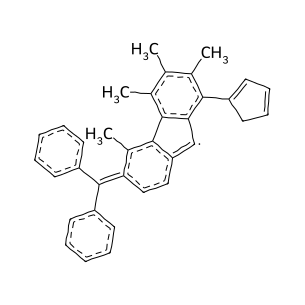 Cc1c(C)c(C2=CC=CC2)c2c(c1C)-c1c(C)c(=C(c3ccccc3)c3ccccc3)ccc1=[C]2